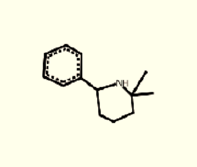 CC1(C)CCCC(c2ccccc2)N1